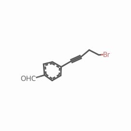 O=Cc1ccc(C#CCCBr)cc1